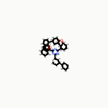 c1ccc(-c2cccc(-c3nc(-c4ccccc4)nc(-c4cccc5oc6ccc(-c7cccc8c7oc7ccccc78)cc6c45)n3)c2)cc1